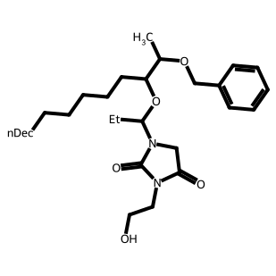 CCCCCCCCCCCCCCCC(OC(CC)N1CC(=O)N(CCO)C1=O)C(C)OCc1ccccc1